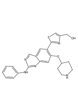 OCc1csc(-c2cc3cnc(Nc4ccccc4)nc3cc2OC2CCNCC2)n1